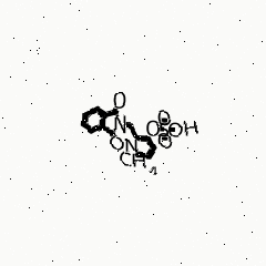 C.O=C1c2ccccc2C(=O)N1Cc1ncccc1OS(=O)(=O)O